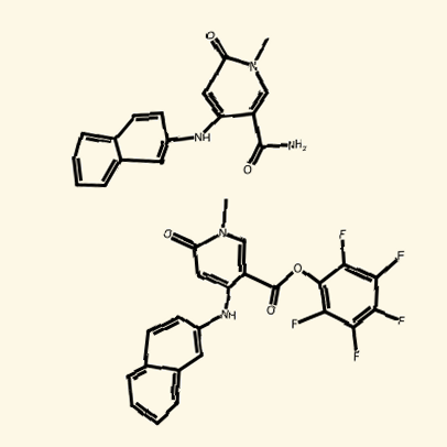 Cn1cc(C(=O)Oc2c(F)c(F)c(F)c(F)c2F)c(Nc2ccc3ccccc3c2)cc1=O.Cn1cc(C(N)=O)c(Nc2ccc3ccccc3c2)cc1=O